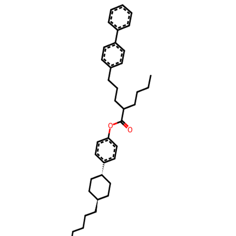 CCCCC[C@H]1CC[C@H](c2ccc(OC(=O)C(CCCC)CCCc3ccc(-c4ccccc4)cc3)cc2)CC1